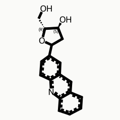 OC[C@H]1OC(c2ccc3nc4ccccc4cc3c2)C[C@@H]1O